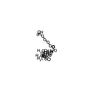 C[C@@H](C(=O)N[C@H](C(=O)N1CCC[C@H]1c1nc(C(=O)c2cccc(OCCOCCOCCOCCC(=O)O)c2)cs1)C1CCCCC1)N(C)C(=O)OC(C)(C)C